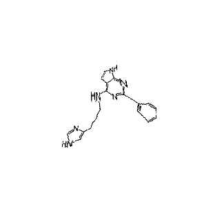 c1ccc(-c2nc(NCCCc3c[nH]cn3)c3cc[nH]c3n2)cc1